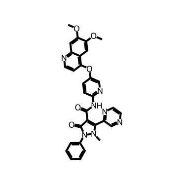 COc1cc2nccc(Oc3ccc(NC(=O)c4c(-c5cnccn5)n(C)n(-c5ccccc5)c4=O)nc3)c2cc1OC